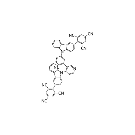 N#Cc1cc(C#N)c(-c2ccc3c(c2)c2ccccc2n3-c2ccc(C#N)c(-c3cnccc3-n3c4ccccc4c4cc(-c5c(C#N)cc(C#N)cc5C#N)ccc43)c2)c(C#N)c1